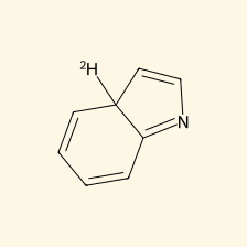 [2H]C12C=CC=CC1=NC=C2